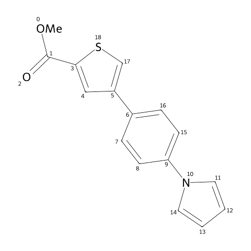 COC(=O)c1cc(-c2ccc(-n3cccc3)cc2)cs1